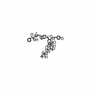 CO/N=C(\C(=O)N[C@@H]1C(=O)N2C(C(=O)OCc3ccc(OC)cc3)=C(C[n+]3ccc4c(ccn4Cc4cc(C(=N)Nc5ccccc5)cs4)c3)CS[C@H]12)c1nc(NC(=O)OC(C)(C)C)sc1Cl